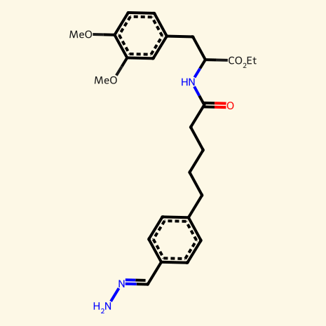 CCOC(=O)C(Cc1ccc(OC)c(OC)c1)NC(=O)CCCCc1ccc(C=NN)cc1